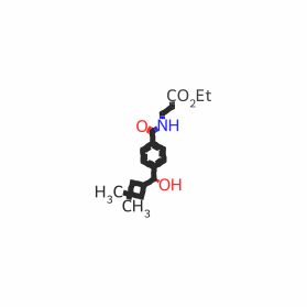 CCOC(=O)CCNC(=O)c1ccc([C@@H](O)C2CC(C)(C)C2)cc1